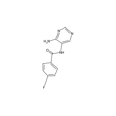 Nc1ncncc1NC(=O)c1ccc(F)cc1